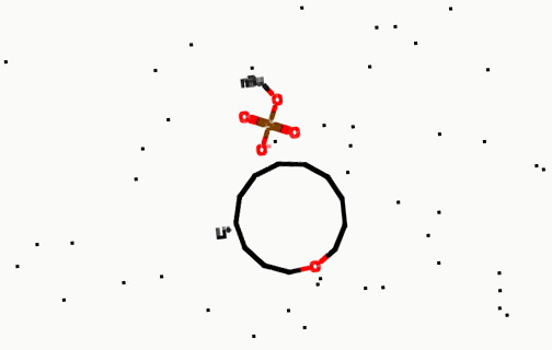 C1CCCCCCOCCCCC1.CCCCOS(=O)(=O)[O-].[Li+]